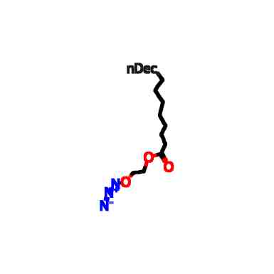 CCCCCCCCCCCCCCCCCC(=O)OCCON=[N+]=[N-]